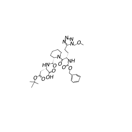 COCn1nnnc1CC[C@H](NC(=O)OCc1ccccc1)C(=O)N1CCCC[C@H]1C(=O)N[C@@H](CC(=O)OC(C)(C)C)C(=O)O